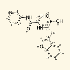 O=C(Nc1cnccn1)C(=O)N[C@@H](Cc1coc2ccccc12)B(O)O